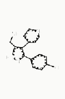 NCc1[nH]nc(-c2ccc(Cl)cc2)c1-c1ccncc1